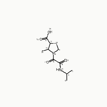 CC(C)NC(=O)C(=O)N1CCC(C(=O)O)C1C